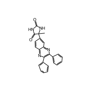 CC1(c2ccc3nc(-c4ccccc4)c(-c4ccccc4)nc3c2)NC(=O)NC1=O